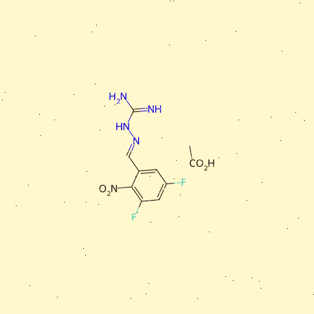 CC(=O)O.N=C(N)N/N=C/c1cc(F)cc(F)c1[N+](=O)[O-]